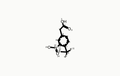 O=C(O)Cc1ccc(C(F)(F)F)c([N+](=O)[O-])c1